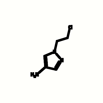 Nc1cnn(CCCl)c1